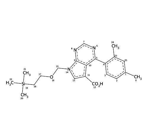 Cc1ccc(-c2ncnc3c2c(C(=O)O)cn3COCC[Si](C)(C)C)c(C)c1